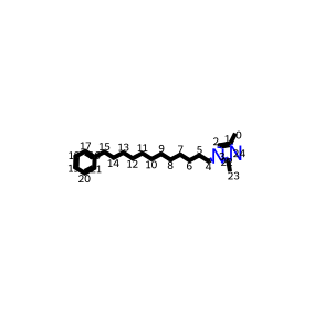 Cc1cn(CCCCCCCCCCCCc2ccccc2)c(C)n1